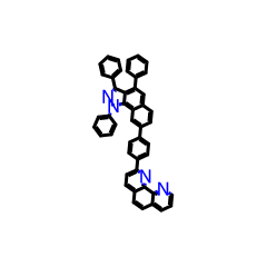 c1ccc(-c2cc3ccc(-c4ccc(-c5ccc6ccc7cccnc7c6n5)cc4)cc3c3c2c(-c2ccccc2)nn3-c2ccccc2)cc1